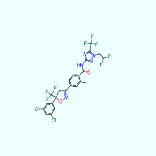 Cc1cc(C2=NOC(c3cc(Cl)cc(Cl)c3)(C(F)(F)F)C2)ccc1C(=O)Nc1nc(C(F)(F)F)n(CC(F)F)n1